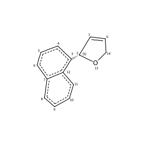 C1=C[C@@H](c2cccc3ccccc23)OC1